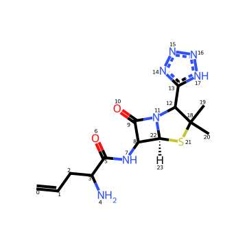 C=CCC(N)C(=O)NC1C(=O)N2C(c3nnn[nH]3)C(C)(C)S[C@@H]12